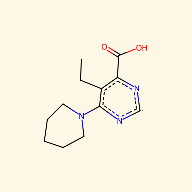 CCc1c(C(=O)O)n[c]nc1N1CCCCC1